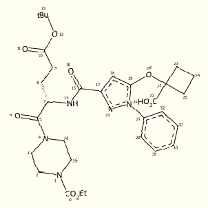 CCOC(=O)N1CCN(C(=O)[C@H](CCC(=O)OC(C)(C)C)NC(=O)c2cc(OC3(C(=O)O)CCC3)n(-c3ccccc3)n2)CC1